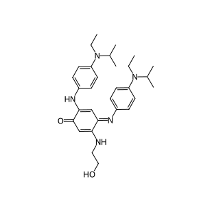 CCN(c1ccc(N=C2C=C(Nc3ccc(N(CC)C(C)C)cc3)C(=O)C=C2NCCO)cc1)C(C)C